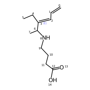 C=C/C=C(\CC)C(C)NCCCC(=O)O